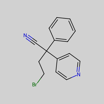 N#CC(CCBr)(c1ccccc1)c1ccncc1